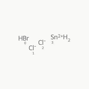 Br.[Cl-].[Cl-].[SnH2+2]